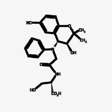 CC1(C)Oc2ccc(C#N)cc2[C@@H](N(CC(=O)N[C@@H](CO)C(=O)O)c2ccccc2)[C@@H]1O